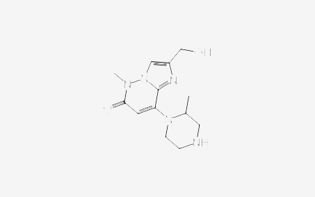 CC1CNCCN1c1cc(=O)n(C)n2cc(CO)nc12